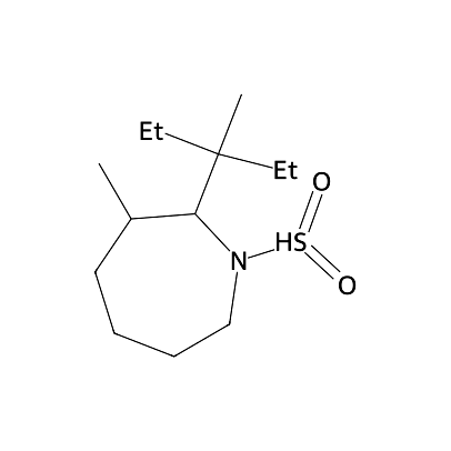 CCC(C)(CC)C1C(C)CCCCN1[SH](=O)=O